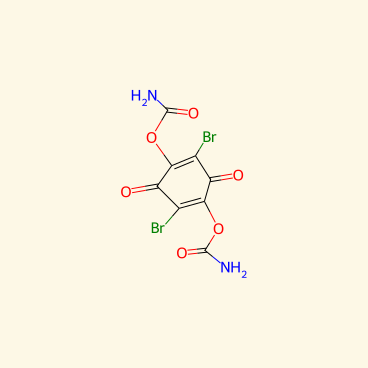 NC(=O)OC1=C(Br)C(=O)C(OC(N)=O)=C(Br)C1=O